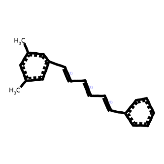 Cc1cc(C)cc(/C=C/C=C/C=C/c2ccccc2)c1